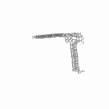 Cl.Cl.Cl.Cl.Cl.Cl.Cl.Cl.Cl.Cl.Cl.Cl.Cl.Cl.Cl.Cl.Cl.Cl.Cl.Cl.Cl.Cl.Cl.Cl.Cl.Cl.Cl.Cl.Cl.Cl.Cl.Cl.NCC(=O)[O-].NCC(=O)[O-].NCC(=O)[O-].NCC(=O)[O-].[Al].[Zr+4]